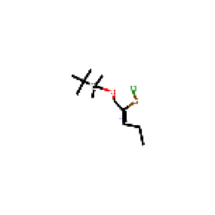 CC/C=C(/CO[Si](C)(C)C(C)(C)C)SCl